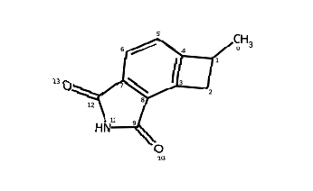 CC1Cc2c1ccc1c2C(=O)NC1=O